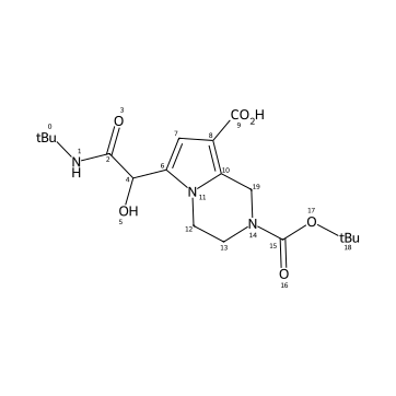 CC(C)(C)NC(=O)C(O)c1cc(C(=O)O)c2n1CCN(C(=O)OC(C)(C)C)C2